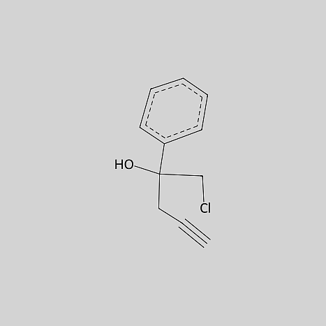 C#CCC(O)(CCl)c1ccccc1